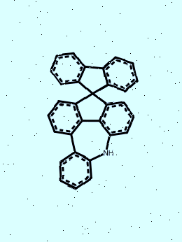 c1ccc2c(c1)Nc1cccc3c1-c1c-2cccc1C31c2ccccc2-c2ccccc21